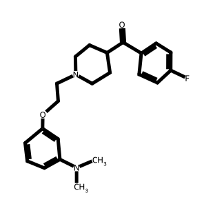 CN(C)c1cccc(OCCN2CCC(C(=O)c3ccc(F)cc3)CC2)c1